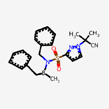 CB(Cc1ccccc1)N(Cc1ccccc1)S(=O)(=O)c1ccn(C(C)(C)C#N)n1